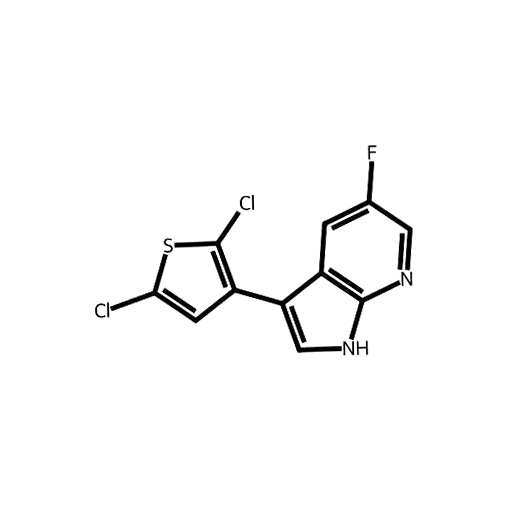 Fc1cnc2[nH]cc(-c3cc(Cl)sc3Cl)c2c1